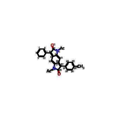 CC(=O)N1C(=O)C(c2ccccc2)=c2cc3c(cc21)=C(c1ccc(C)cc1)C(=O)N3C(C)=O